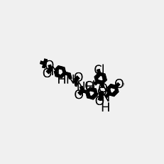 COc1ccc(NS(=O)(=O)c2ccc(C(=O)NCC(=O)NCC3CCN(C(=O)OC(C)(C)C)CC3)cc2)c(Oc2ccc(Cl)cc2Cl)c1